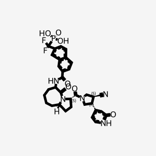 N#C[C@@H]1CN(C(=O)[C@@H]2CC[C@@H]3CCCCC(NC(=O)c4ccc5ccc(C(F)(F)P(=O)(O)O)cc5c4)C(=O)N32)C[C@H]1c1cc[nH]c(=O)c1